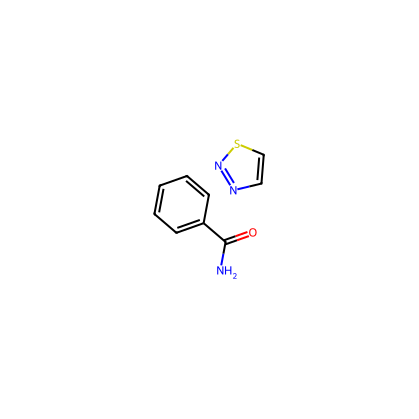 NC(=O)c1ccccc1.c1csnn1